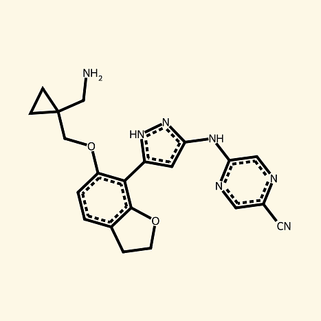 N#Cc1cnc(Nc2cc(-c3c(OCC4(CN)CC4)ccc4c3OCC4)[nH]n2)cn1